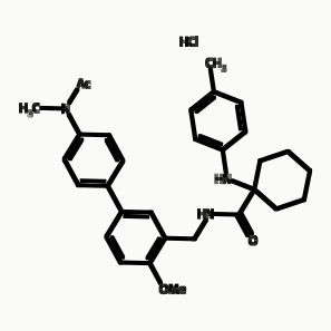 COc1ccc(-c2ccc(N(C)C(C)=O)cc2)cc1CNC(=O)C1(Nc2ccc(C)cc2)CCCCC1.Cl